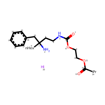 CCCCCCC(N)(CCNC(=O)OCCOC(=O)C(C)C)Cc1ccccc1.I